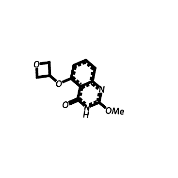 COc1nc2cccc(OC3COC3)c2c(=O)[nH]1